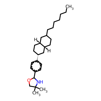 CCCCCCCC1CC[C@@H]2C[C@H](c3ccc(C4NC(C)(C)CO4)cc3)CC[C@@H]2C1